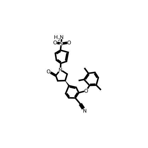 Cc1ccc(C)c(Oc2cc([C@H]3CC(=O)N(c4ccc(S(N)(=O)=O)cc4)C3)ccc2C#N)c1C